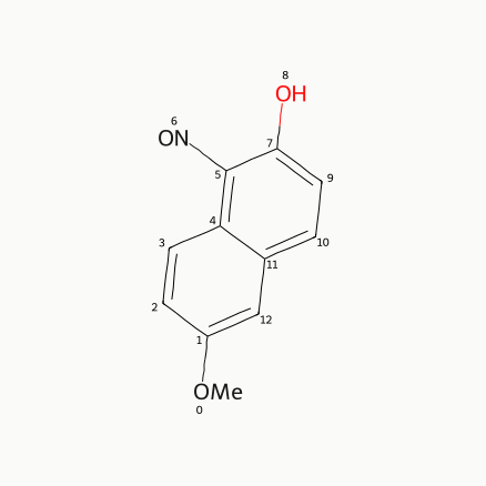 COc1ccc2c(N=O)c(O)ccc2c1